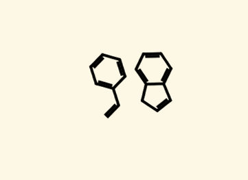 C1=Cc2ccccc2C1.C=Cc1ccccc1